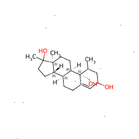 CC1CC(O)C=C2CC[C@@H]3[C@@H](CC[C@@]4(C)[C@H]3CCC4(C)O)[C@]21CO